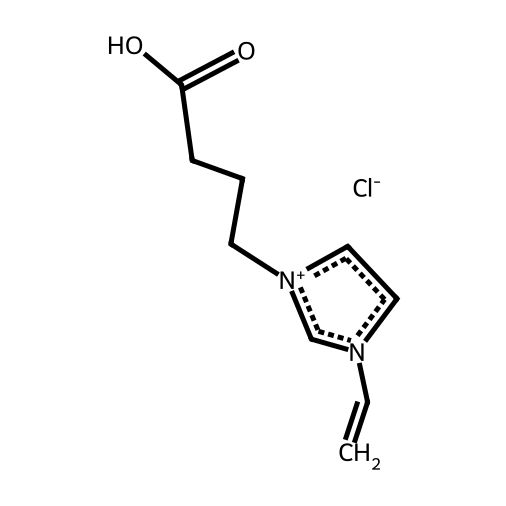 C=Cn1cc[n+](CCCC(=O)O)c1.[Cl-]